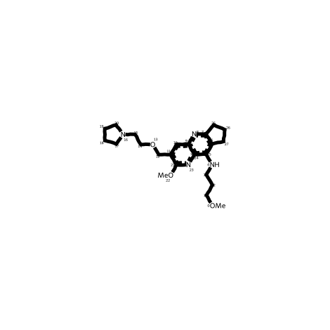 COCCCNc1c2c(nc3cc(COCCN4CCCC4)c(OC)nc13)CCC2